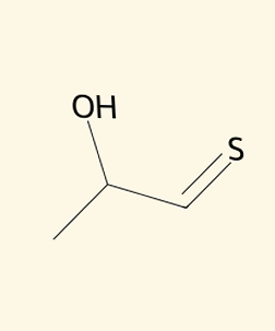 CC(O)C=S